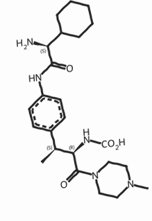 C[C@@H](c1ccc(NC(=O)[C@@H](N)C2CCCCC2)cc1)[C@@H](NC(=O)O)C(=O)N1CCN(C)CC1